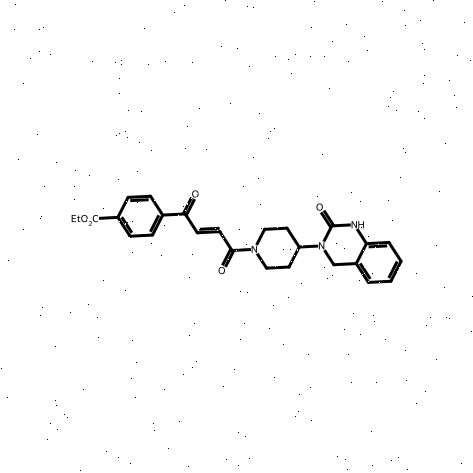 CCOC(=O)c1ccc(C(=O)C=CC(=O)N2CCC(N3Cc4ccccc4NC3=O)CC2)cc1